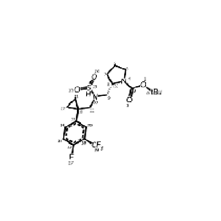 CC(C)(C)OC(=O)N1CCC[C@H]1CN(CC1(c2ccc(F)c(C(F)(F)F)c2)CC1)[SH](=O)=O